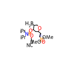 BC1COC(/C=C/P(=O)(OC)OC)CC1OP(OCCC#N)N(C(C)C)C(C)C